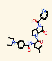 CCN(CC)c1ccc(C(=O)NC(CC(C)C)C(=O)N2CCC3C2C(=O)CN3C(=O)c2cccnc2)cc1